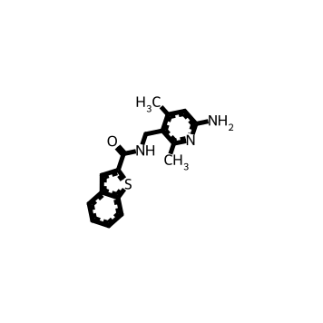 Cc1cc(N)nc(C)c1CNC(=O)c1cc2ccccc2s1